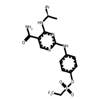 CC(C)[C@@H](C)Nc1nc(Nc2ccc(OS(=O)(=O)CC(F)(F)F)cc2)ncc1C(N)=O